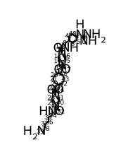 N=C(N)Nc1ccc(CNC(=O)N2CCN(C(=O)OC3CCCC(OC(=O)N4CCN(C(=O)NCCCCCN)CC4)CCC3)CC2)cc1